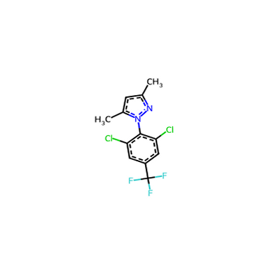 Cc1cc(C)n(-c2c(Cl)cc(C(F)(F)F)cc2Cl)n1